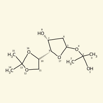 CC(C)(O)OC1C[C@@H](O)[C@@H](C2COC(C)(C)O2)O1